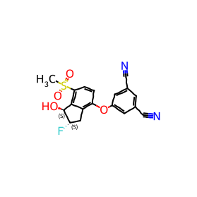 CS(=O)(=O)c1ccc(Oc2cc(C#N)cc(C#N)c2)c2c1[C@H](O)[C@@H](F)C2